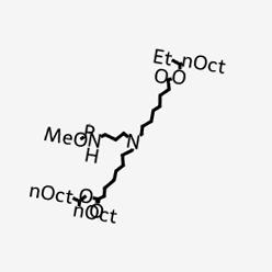 CCCCCCCCC(CC)OC(=O)CCCCCCCN(CCCCCCCC(=O)OC(CCCCCCCC)CCCCCCCC)CCCNP(C)OC